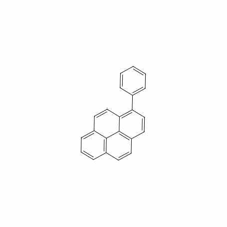 [c]1cc2cccc3ccc4ccc(-c5ccccc5)c1c4c23